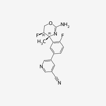 C[C@]1(c2cc(-c3cncc(C#N)c3)ccc2F)N=C(N)OC[C@@H]1F